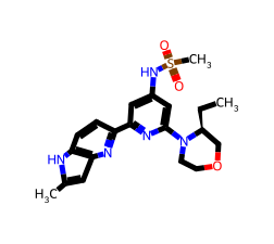 CC[C@H]1COCCN1c1cc(NS(C)(=O)=O)cc(-c2ccc3[nH]c(C)cc3n2)n1